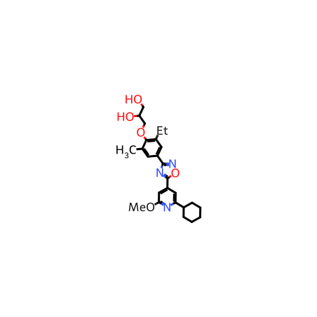 CCc1cc(-c2noc(-c3cc(OC)nc(C4CCCCC4)c3)n2)cc(C)c1OCC(O)CO